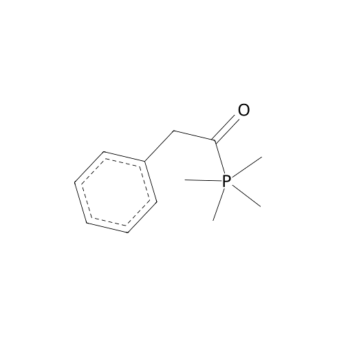 CP(C)(C)(C)C(=O)Cc1ccccc1